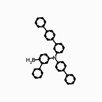 Bc1ccc(N(c2ccc(-c3ccccc3)cc2)c2cccc(-c3ccc(-c4ccccc4)cc3)c2)cc1-c1ccccc1